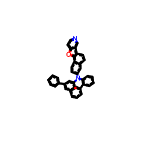 c1ccc(-c2cccc(N(c3ccc4c(ccc5c6cnccc6oc45)c3)c3ccccc3-c3ccccc3)c2)cc1